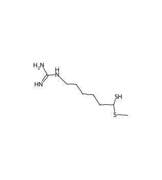 CSC(S)CCCCCNC(=N)N